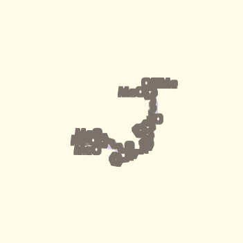 COc1cc(/C=C/C=C/C(=O)N(CCCN2CCN(CCCN(Cc3ccccc3)C(=O)/C=C/C=C/c3cc(OC)c(OC)c(OC)c3)CC2)Cc2ccccc2)cc(OC)c1OC